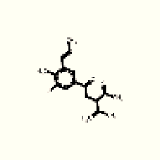 C=C(C)C(CC(=O)c1cc(F)c(C)c(/C=C/C)c1)C(C)=S